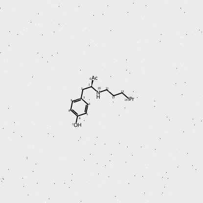 CC(=O)[C@H](Cc1ccc(O)cc1)NCCCC(C)C